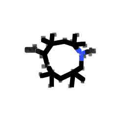 CC(=O)N1CC(C)(C)CC(C)(C)CC(C=O)C(C)(C)CC1(C)C